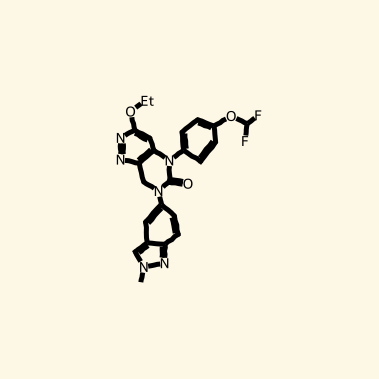 CCOc1cc2c(nn1)CN(c1ccc3nn(C)cc3c1)C(=O)N2c1ccc(OC(F)F)cc1